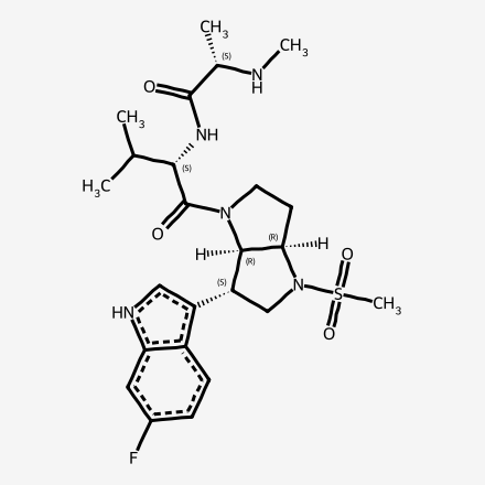 CN[C@@H](C)C(=O)N[C@H](C(=O)N1CC[C@@H]2[C@H]1[C@@H](c1c[nH]c3cc(F)ccc13)CN2S(C)(=O)=O)C(C)C